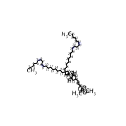 CCCCC/C=C\C/C=C\CCCCCCCCC1(CCCCCCCC/C=C\C/C=C\CCCCC)CC2(C1)O[C@H]1CC(CCCOP(C)(=O)OC)C[C@H]1O2